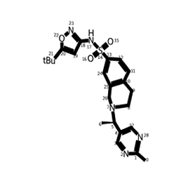 Cc1ncc([C@@H](C)N2CCc3ccc(S(=O)(=O)Nc4cc(C(C)(C)C)on4)cc3C2)cn1